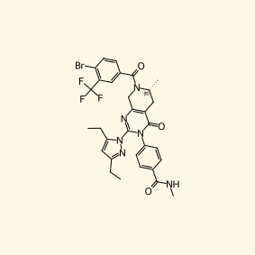 CCc1cc(CC)n(-c2nc3c(c(=O)n2-c2ccc(C(=O)NC)cc2)C[C@@H](C)N(C(=O)c2ccc(Br)c(C(F)(F)F)c2)C3)n1